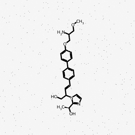 COCC(N)COc1ccc(-c2ccc(/C=C/C(CO)n3ccnc3[C@H](C)O)cc2)cc1